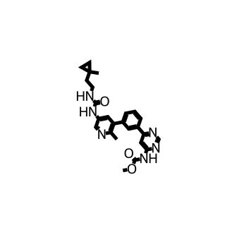 COC(=O)Nc1cc(-c2cccc(-c3cc(NC(=O)NCCC4(C)CC4)cnc3C)c2)ncn1